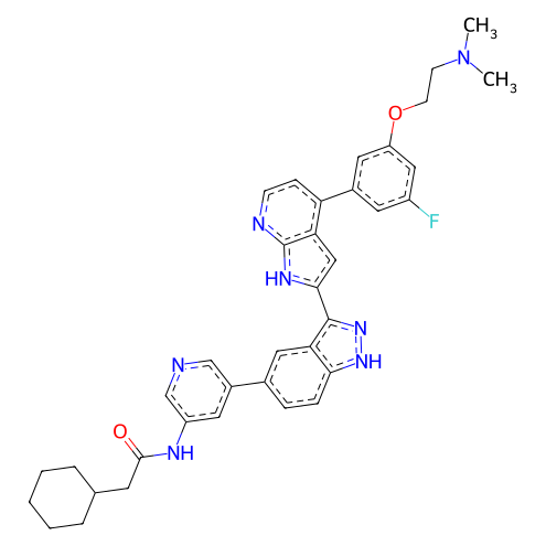 CN(C)CCOc1cc(F)cc(-c2ccnc3[nH]c(-c4n[nH]c5ccc(-c6cncc(NC(=O)CC7CCCCC7)c6)cc45)cc23)c1